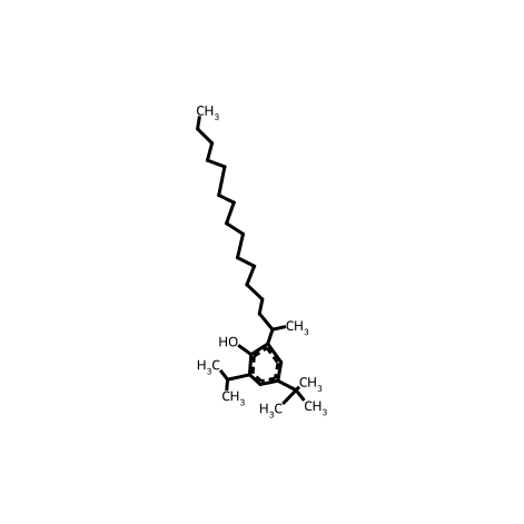 CCCCCCCCCCCCCCC(C)c1cc(C(C)(C)C)cc(C(C)C)c1O